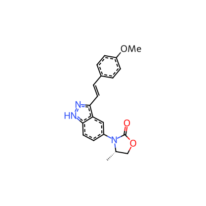 COc1ccc(/C=C/c2n[nH]c3ccc(N4C(=O)OC[C@@H]4C)cc23)cc1